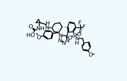 COc1ccc(CNS(=O)(=O)c2c(C(F)(F)F)ccc([C@H]3CC[C@H](NCC4(NC(=O)O)CC4)CC3)c2-c2nnnn2Cc2ccc(OC)cc2)cc1